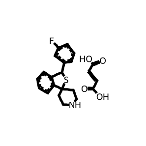 Fc1cccc(C2SC3(CCNCC3)c3ccccc32)c1.O=C(O)C=CC(=O)O